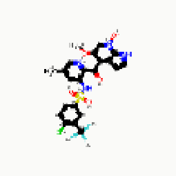 COc1c[n+]([O-])c2[nH]ccc2c1C(=O)c1ncc(C)cc1NS(=O)(=O)c1ccc(Cl)c(C(F)(F)F)c1